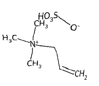 C=CC[N+](C)(C)C.O=S(=O)([O-])O